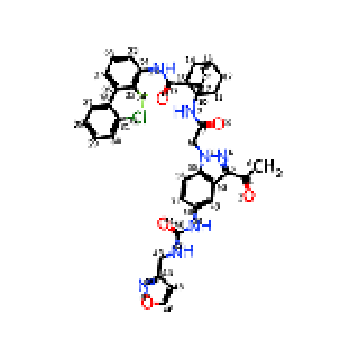 CC(=O)c1nn(CC(=O)NC23CCC(CC2)CC3C(=O)Nc2cccc(-c3ccccc3Cl)c2F)c2ccc(NC(=O)NCc3ccon3)cc12